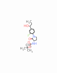 CCC(O)c1ccc(N2CC[C@H](NC(=O)OC(C)(C)C)C2=O)c(F)c1